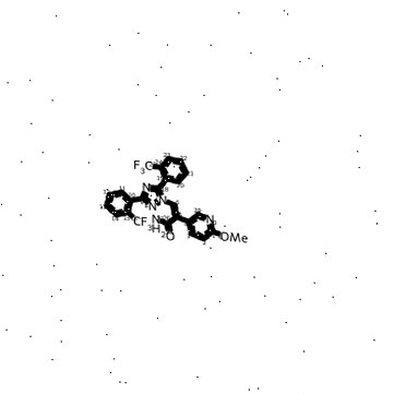 COc1ccc(C(=Cn2nc(-c3ccccc3C(F)(F)F)nc2-c2ccccc2C(F)(F)F)C(N)=O)cn1